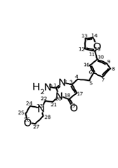 Nc1nc(CCc2cccc(-c3ccco3)c2)cc(=O)n1CCN1CCOCC1